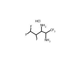 Cl.NC(C(F)C(F)F)C(N)C(F)(F)F